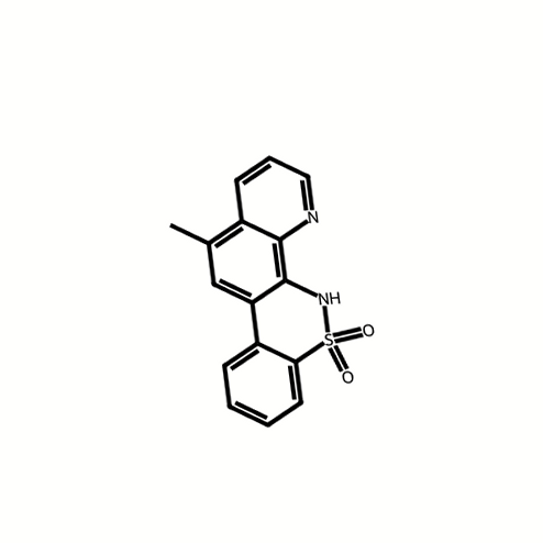 Cc1cc2c(c3ncccc13)NS(=O)(=O)c1ccccc1-2